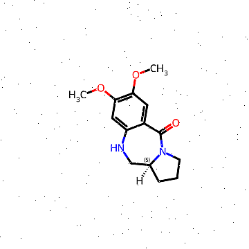 COc1cc2c(cc1OC)C(=O)N1CCC[C@H]1CN2